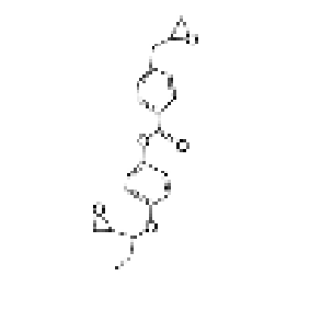 CCC(Oc1ccc(OC(=O)c2ccc(CC3CO3)cc2)cc1)C1CO1